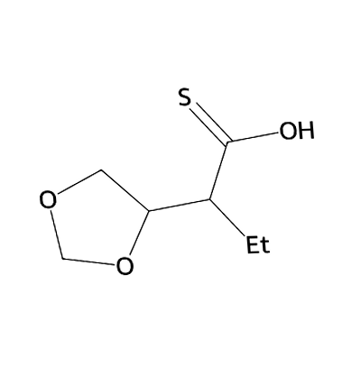 CCC(C(O)=S)C1COCO1